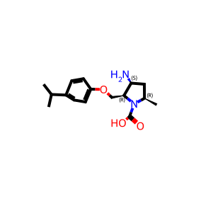 CC(C)c1ccc(OC[C@H]2[C@@H](N)C[C@@H](C)N2C(=O)O)cc1